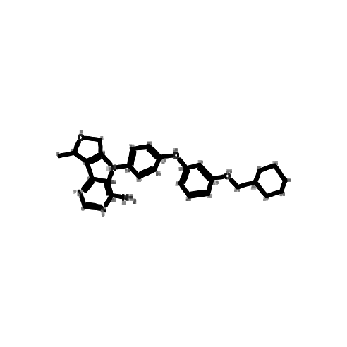 CC1OCc2c1c1ncnc(N)c1n2-c1ccc(Oc2cccc(OCC3CCCCC3)c2)cc1